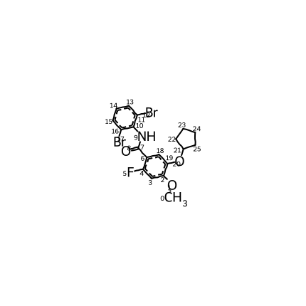 COc1cc(F)c(C(=O)Nc2c(Br)cccc2Br)cc1OC1CCCC1